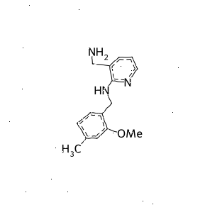 COc1cc(C)ccc1CNc1ncccc1CN